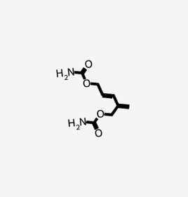 C=C(C=CCOC(N)=O)COC(N)=O